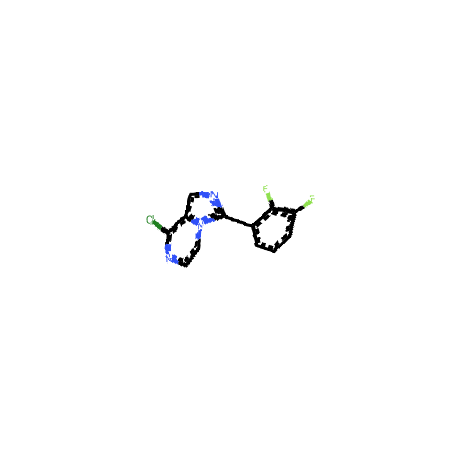 Fc1cccc(-c2ncc3c(Cl)nccn23)c1F